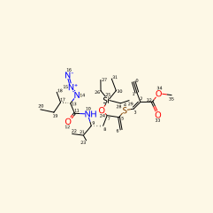 C#C/C(=C\SC(=C)C(C[C@@H](NC(=O)[C@@H](N=[N+]=[N-])C(C)CC)C(C)C)O[Si](CC)(CC)CC)C(=O)OC